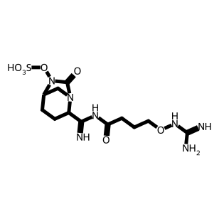 N=C(N)NOCCCC(=O)NC(=N)C1CCC2CN1C(=O)N2OS(=O)(=O)O